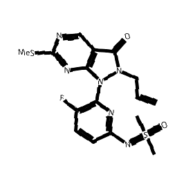 C=CCn1c(=O)c2cnc(SC)nc2n1-c1nc(N=S(C)(C)=O)ccc1F